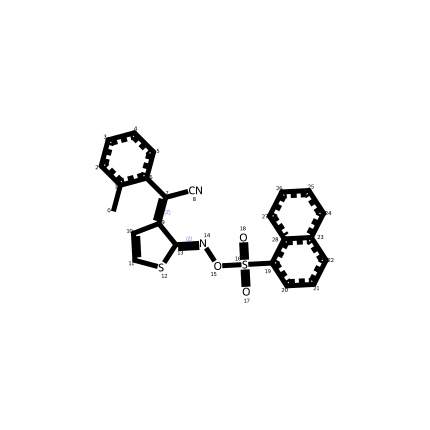 Cc1ccccc1/C(C#N)=C1\C=CS\C1=N/OS(=O)(=O)c1cccc2ccccc12